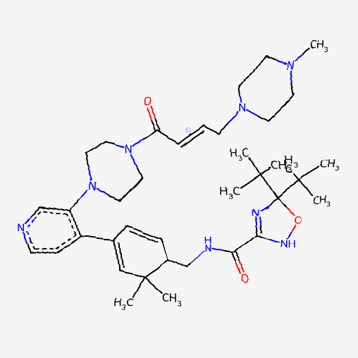 CN1CCN(C/C=C/C(=O)N2CCN(c3cnccc3C3=CC(C)(C)C(CNC(=O)C4=NC(C(C)(C)C)(C(C)(C)C)ON4)C=C3)CC2)CC1